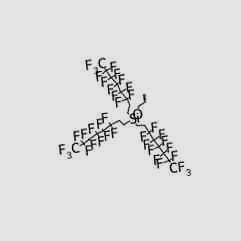 C=CCO[Si](CCC(F)(F)C(F)(F)C(F)(F)C(F)(F)C(F)(F)C(F)(F)F)(CCC(F)(F)C(F)(F)C(F)(F)C(F)(F)C(F)(F)C(F)(F)F)CCC(F)(F)C(F)(F)C(F)(F)C(F)(F)C(F)(F)C(F)(F)F